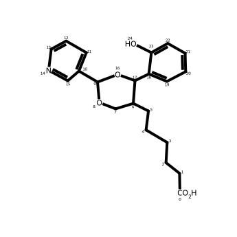 O=C(O)CCCCCC1COC(c2cccnc2)OC1c1ccccc1O